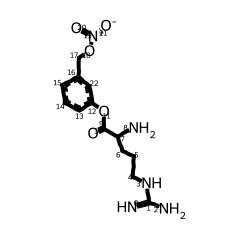 N=C(N)NCCCC(N)C(=O)Oc1cccc(CO[N+](=O)[O-])c1